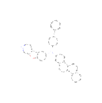 c1ccc(-c2ccc(N(c3ccc4c(ccc5c6ccccc6ccc45)c3)c3ccc4oc5cnccc5c4c3)cc2)cc1